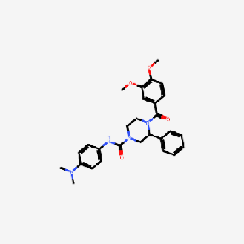 COc1ccc(C(=O)N2CCN(C(=O)Nc3ccc(N(C)C)cc3)CC2c2ccccc2)cc1OC